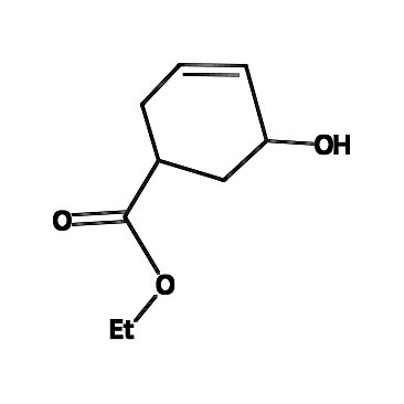 CCOC(=O)C1CC=CC(O)C1